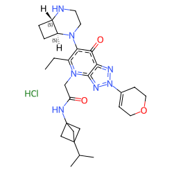 CCc1c(N2CCN[C@H]3CC[C@@H]32)c(=O)c2nn(C3=CCOCC3)nc2n1CC(=O)NC12CC(C(C)C)(C1)C2.Cl